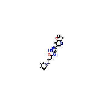 COc1cncc(-c2cc(NC(=O)CCCN3CCCCC3)[nH]n2)c1